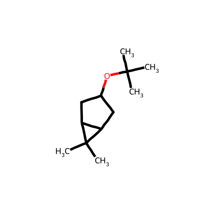 CC(C)(C)OC1CC2C(C1)C2(C)C